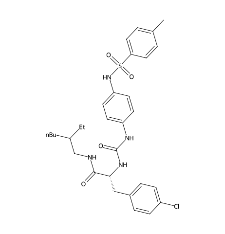 CCCCC(CC)CNC(=O)[C@@H](Cc1ccc(Cl)cc1)NC(=O)Nc1ccc(NS(=O)(=O)c2ccc(C)cc2)cc1